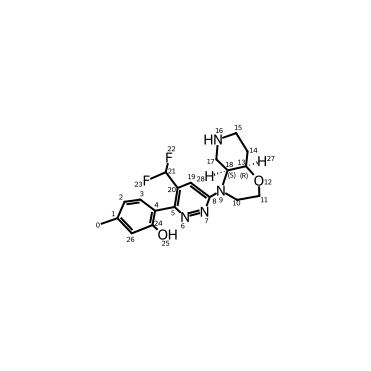 Cc1ccc(-c2nnc(N3CCO[C@@H]4CCNC[C@@H]43)cc2C(F)F)c(O)c1